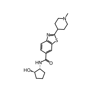 CN1CCC(c2nc3ccc(C(=O)N[C@@H]4CCC[C@H]4O)cc3s2)CC1